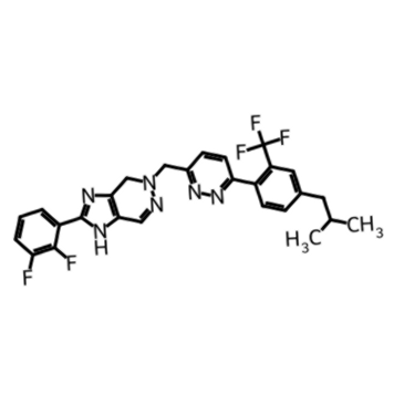 CC(C)Cc1ccc(-c2ccc(CN3Cc4nc(-c5cccc(F)c5F)[nH]c4C=N3)nn2)c(C(F)(F)F)c1